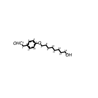 O=CCc1ccc(OCCCCCCCCO)cc1